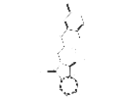 C=C/C=C(C[C@H](N)CN1C(=O)c2ccccc2C1=O)\C(=C/C)C(F)(F)F